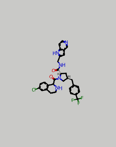 O=C(NCc1cc2cnccc2[nH]1)[C@@H]1C[C@@H](Cc2ccc(C(F)(F)F)cc2)CN1C(=O)C1NCCc2cc(Cl)ccc21